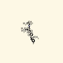 CCn1c(Cn2ccnc(NC(=O)[C@H](CC/C=C/C(=O)N(C)C)OC(=O)N(C)C)c2=O)cc2cc(F)ccc21